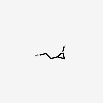 CCCCCC1CN1O